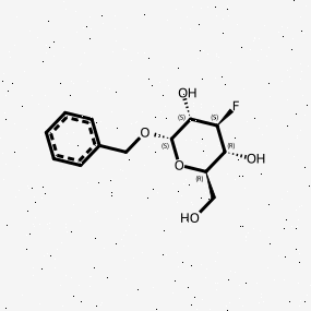 OC[C@H]1O[C@H](OCc2ccccc2)[C@H](O)[C@@H](F)[C@@H]1O